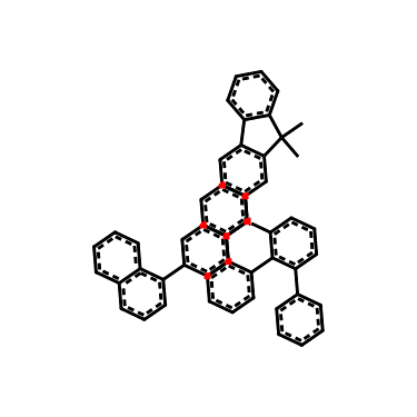 CC1(C)c2ccccc2-c2ccc(N(c3ccc(-c4cccc5ccccc45)cc3)c3cccc(-c4ccccc4)c3-c3ccccc3-c3ccccc3)cc21